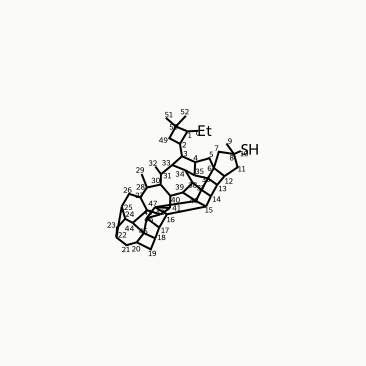 CCC1C(C2C3CC45CC(C)(S)CC4C4C6C7C8C9C%10CC%11CC%12CC%13C%12CC%12C(C)C%14C(C)C2C2C3C45C63C2C2C%14C4C5C%12C%13C%11%10C59C48C273)CC1(C)C